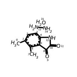 Cc1ccc2c(c1C)C(=O)C(=O)N2.NN.O